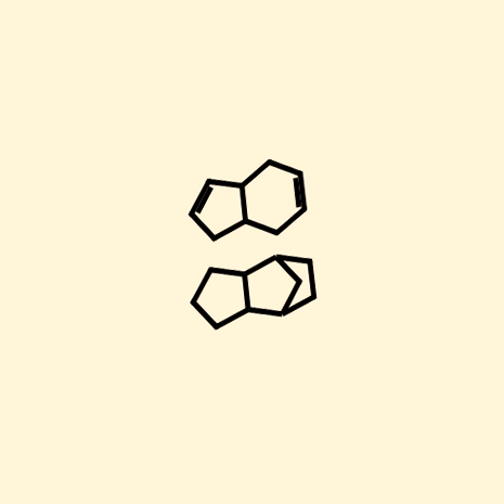 C1=CCC2CC=CC2C1.C1CC2C3CCC(C3)C2C1